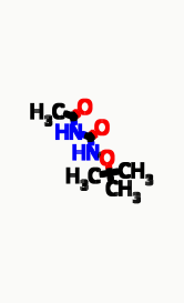 CC(=O)NC(=O)NOC(C)(C)C